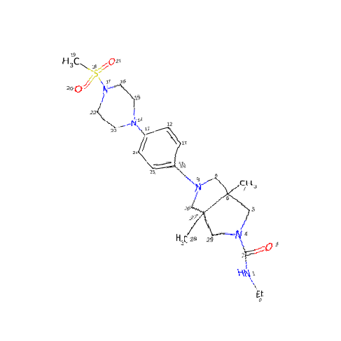 CCNC(=O)N1CC2(C)CN(c3ccc(N4CCN(S(C)(=O)=O)CC4)cc3)CC2(C)C1